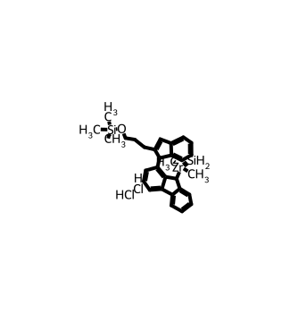 C[Si](C)(C)OCCCC1=Cc2ccccc2C1c1cccc2c1[CH]([Zr]([CH3])([CH3])=[SiH2])c1ccccc1-2.Cl.Cl